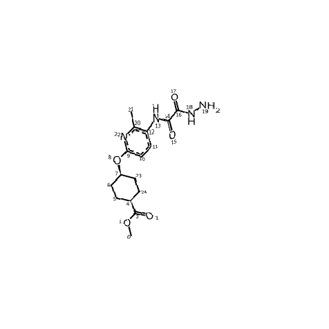 COC(=O)[C@H]1CC[C@@H](Oc2ccc(NC(=O)C(=O)NN)c(C)n2)CC1